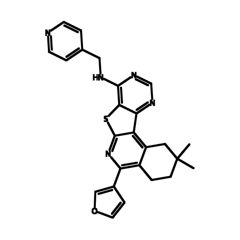 CC1(C)CCc2c(-c3ccoc3)nc3sc4c(NCc5ccncc5)ncnc4c3c2C1